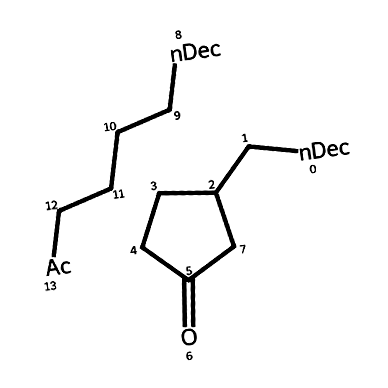 CCCCCCCCCCCC1CCC(=O)C1.CCCCCCCCCCCCCCC(C)=O